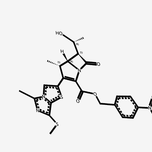 CSc1nc(C)n2cc(C3=C(C(=O)OCc4ccc([N+](=O)[O-])cc4)N4C(=O)[C@H]([C@@H](C)O)[C@H]4[C@H]3C)sc12